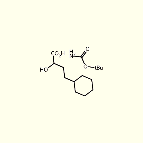 CC(C)(C)OC(N)=O.O=C(O)C(O)CCC1CCCCC1